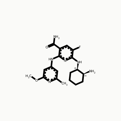 COc1cc(Nc2nc(N[C@@H]3CCCC[C@@H]3N)c(F)cc2C(N)=O)cc(C)n1